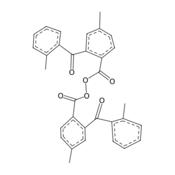 Cc1ccc(C(=O)OOC(=O)c2ccc(C)cc2C(=O)c2ccccc2C)c(C(=O)c2ccccc2C)c1